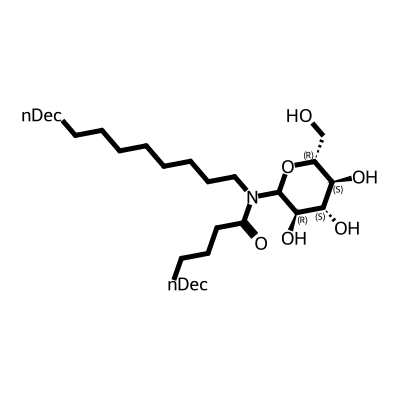 CCCCCCCCCCCCCCCCCCN(C(=O)CCCCCCCCCCCCC)C1O[C@H](CO)[C@@H](O)[C@H](O)[C@H]1O